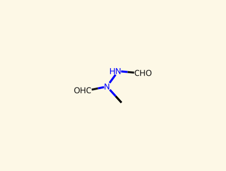 CN(C=O)NC=O